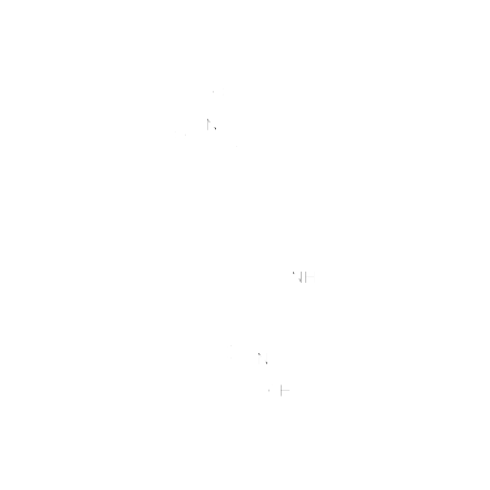 CN(C)CCNC1=Cc2ccc([N+](=O)[O-])cc2C1